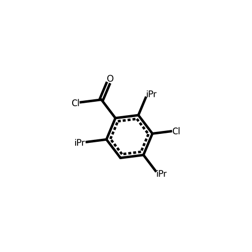 CC(C)c1cc(C(C)C)c(C(=O)Cl)c(C(C)C)c1Cl